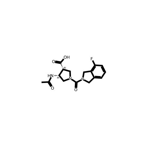 CC(=O)N[C@H]1CN(C(=O)N2Cc3cccc(F)c3C2)C[C@H]1C(=O)O